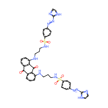 O=C1c2cccc(NCCCNS(=O)(=O)c3ccc(/N=N/c4ncc[nH]4)cc3)c2C(=O)c2c(NCCCNS(=O)(=O)c3ccc(/N=N/c4ncc[nH]4)cc3)cccc21